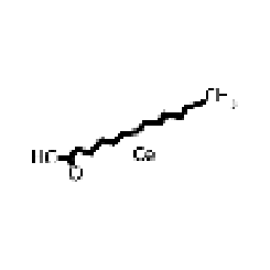 CCCCC=CCCCCCCCC(=O)O.[Ce]